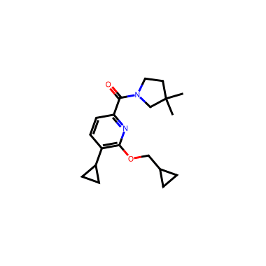 CC1(C)CCN(C(=O)c2ccc(C3CC3)c(OCC3CC3)n2)C1